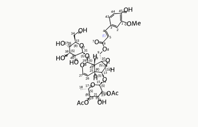 COc1cc(/C=C/C(=O)OC[C@]23O[C@H]2[C@@H](O[C@@H]2O[C@@H](C)[C@H](OC(C)=O)[C@@H](O)[C@H]2OC(C)=O)[C@@H]2C=CO[C@@H](O[C@@H]4O[C@H](CO)[C@@H](O)[C@H](O)[C@H]4O)[C@@H]23)ccc1O